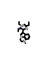 C/C=C(NCC)\C(=N/C(C)CC)c1cn2c3c(cccc13)N(C)CC2